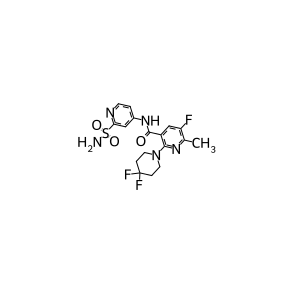 Cc1nc(N2CCC(F)(F)CC2)c(C(=O)Nc2ccnc(S(N)(=O)=O)c2)cc1F